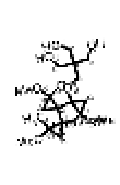 CCCCCCCCCC1(C2(C3(OCC(CO)(CO)CO)CC3(C)OC)CC2(C)OC)CC1(C)OC